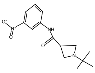 CC(C)(C)N1CC(C(=O)Nc2cccc([N+](=O)[O-])c2)C1